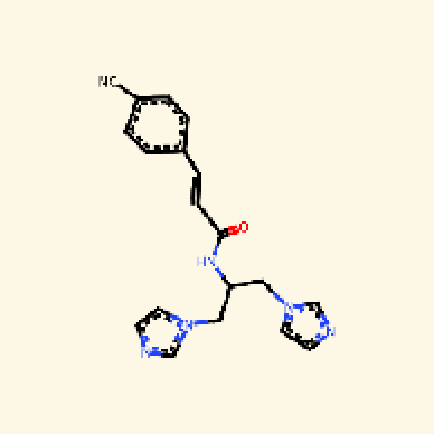 N#Cc1ccc(C=CC(=O)NC(Cn2ccnc2)Cn2ccnc2)cc1